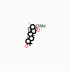 COC(=O)[C@]12CC[C@@H](C)[C@H](C)[C@H]1C1=CCC3[C@@]4(C)CCC(=O)C(C)(C)C4CC[C@@]3(C)[C@]1(C)CC2